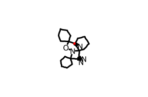 N#CC1(ON(C2(C#N)CCCCC2)C2(C#N)CCCCC2)CCCCC1